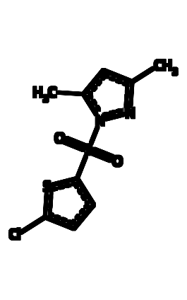 Cc1cc(C)n(S(=O)(=O)c2ccc(Cl)s2)n1